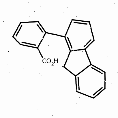 O=C(O)c1ccccc1-c1cccc2c1Cc1ccccc1-2